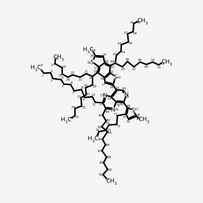 CCCCCCCCCCCCc1nc2c(-c3cc4c(C(CCCCCCCC)CCCCCCCC)c5sc(C)cc5c(C(CCCCCCCC)CCCCCCCC)c4s3)cnc(-c3sc(C)cc3CCCCCC)c2nc1CCCCCCCCCCCC